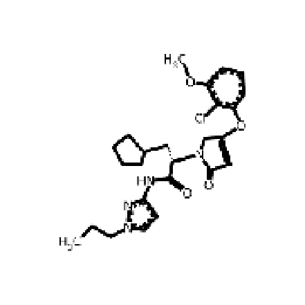 CCCn1ccc(NC(=O)[C@H](CC2CCCC2)N2CC(Oc3cccc(OC)c3Cl)=CC2=O)n1